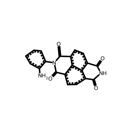 Nc1ccccc1N1C(=O)c2ccc3c4c(ccc(c24)C1=O)C(=O)NC3=O